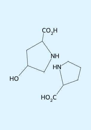 O=C(O)C1CC(O)CN1.O=C(O)C1CCCN1